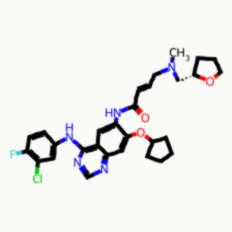 CN(C/C=C/C(=O)Nc1cc2c(Nc3ccc(F)c(Cl)c3)ncnc2cc1OC1CCCC1)C[C@@H]1CCCO1